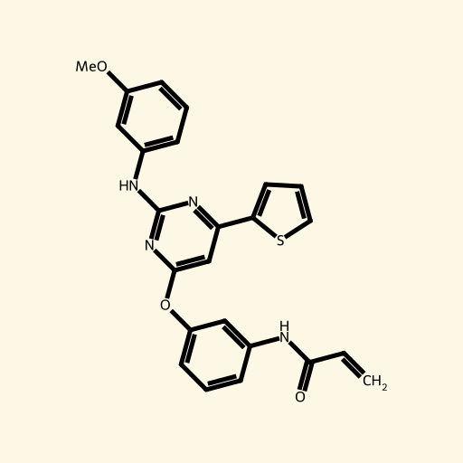 C=CC(=O)Nc1cccc(Oc2cc(-c3cccs3)nc(Nc3cccc(OC)c3)n2)c1